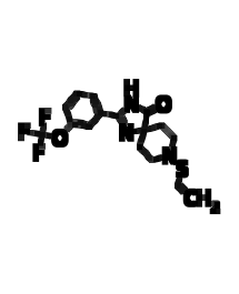 C=CSN1CCC2(CC1)N=C(c1cccc(OC(F)(F)F)c1)NC2=O